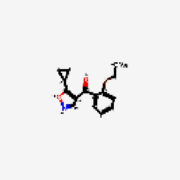 COCSc1ccccc1C(=O)c1cnoc1C1CC1